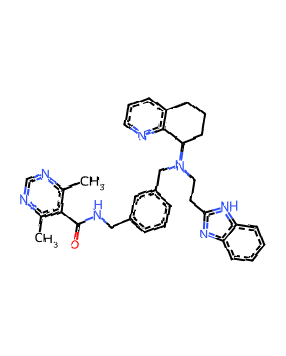 Cc1ncnc(C)c1C(=O)NCc1cccc(CN(CCc2nc3ccccc3[nH]2)C2CCCc3cccnc32)c1